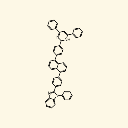 C1=C(c2ccccc2)NC(c2ccc(-c3cccc4c(-c5ccc(-c6nc7ccccc7n6-c6ccccc6)cc5)cccc34)cc2)N=C1c1ccccc1